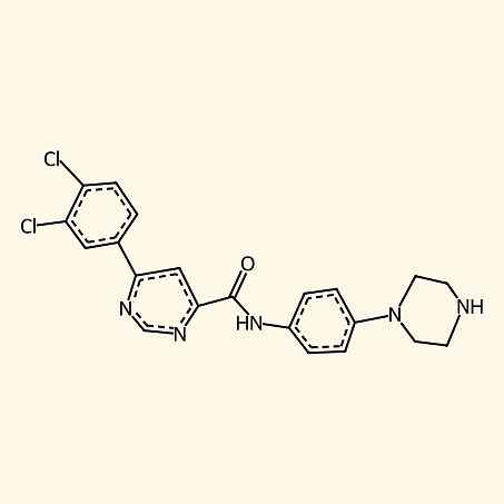 O=C(Nc1ccc(N2CCNCC2)cc1)c1cc(-c2ccc(Cl)c(Cl)c2)ncn1